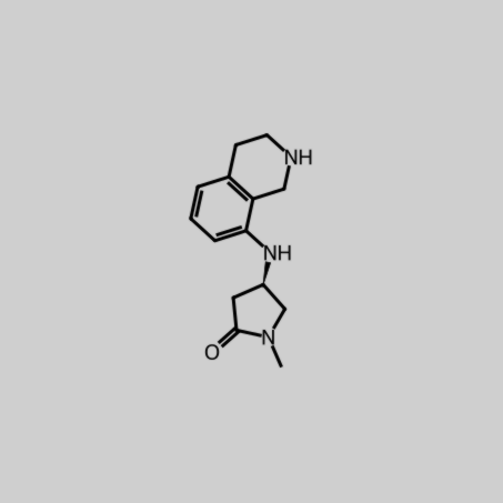 CN1C[C@H](Nc2cccc3c2CNCC3)CC1=O